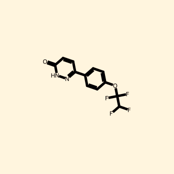 O=c1ccc(-c2ccc(OC(F)(F)C(F)F)cc2)n[nH]1